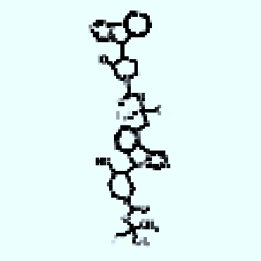 CC(C)(C)OC(=O)N1CCC(O)C(C2c3cccc(CC(C)(C)OC(=O)N4CCC(C5c6ccccc6-c6cncn65)C(O)C4)c3-c3cncn32)C1